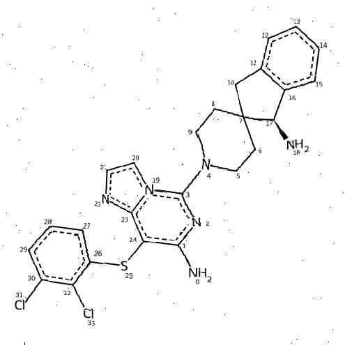 Nc1nc(N2CCC3(CC2)Cc2ccccc2[C@H]3N)n2ccnc2c1Sc1cccc(Cl)c1Cl